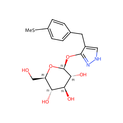 CSc1ccc(Cc2c[nH]nc2O[C@@H]2O[C@H](CO)[C@@H](O)[C@H](O)[C@H]2O)cc1